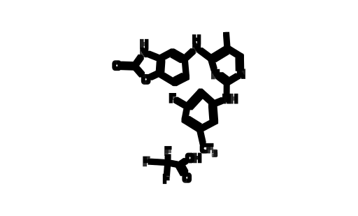 Cc1cnc(Nc2cc(F)cc(C(F)(F)F)c2)nc1Nc1ccc2oc(=O)[nH]c2c1.O=C(O)C(F)(F)F